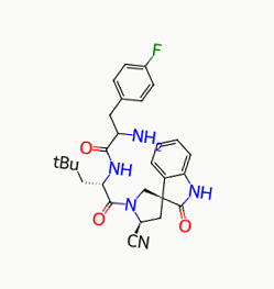 CC(C)(C)C[C@H](NC(=O)C(N)Cc1ccc(F)cc1)C(=O)N1C[C@]2(C[C@H]1C#N)C(=O)Nc1ccccc12